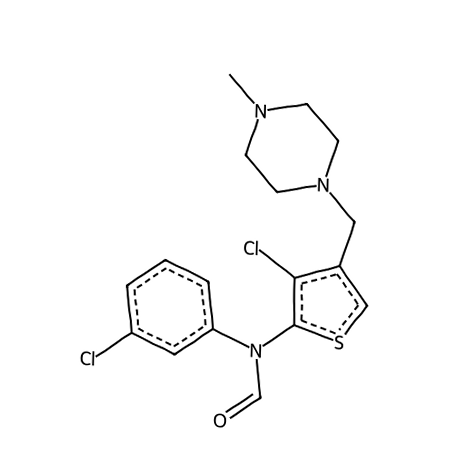 CN1CCN(Cc2csc(N(C=O)c3cccc(Cl)c3)c2Cl)CC1